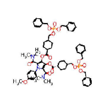 COc1ccc(-n2c(C(=O)N(C)C)c(OC(=O)C3CCC(COP(=O)(OCc4ccccc4)OCc4ccccc4)CC3)c(OC(=O)[C@H]3CC[C@H](COP(=O)(OCc4ccccc4)OCc4ccccc4)CC3)c2C(=O)N(C)C)cc1